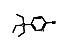 CC[Si](CC)(CC)c1ccc(Br)nc1